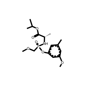 COCP(=O)(N[C@@H](C)C(=O)OC(C)C)Oc1cc(C)cc(OC)c1